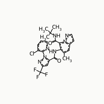 Cc1cc2ccnn2c(C(=O)NC(C)(C)C)c1NC(=O)c1cc(C(F)(F)F)nn1-c1ncccc1Cl